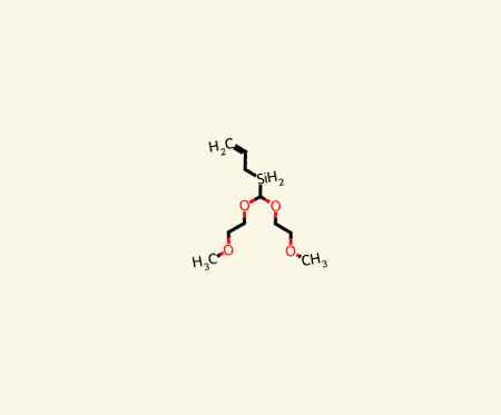 C=CC[SiH2]C(OCCOC)OCCOC